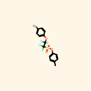 Cc1ccc(OS(=O)(=O)C(F)(F)C(F)(F)Oc2ccc(Br)cc2)cc1